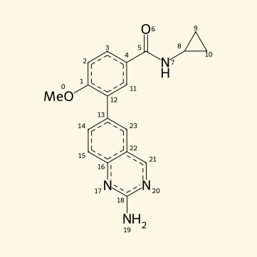 COc1ccc(C(=O)NC2CC2)cc1-c1ccc2nc(N)ncc2c1